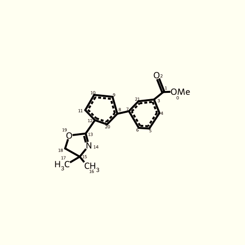 COC(=O)c1cccc(-c2cccc(C3=NC(C)(C)CO3)c2)c1